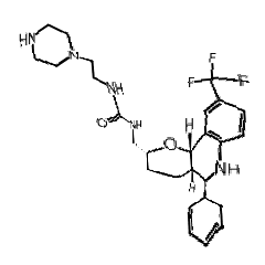 O=C(NCCN1CCNCC1)NC[C@H]1CC[C@@H]2[C@H](O1)c1cc(C(F)(F)F)ccc1N[C@H]2C1C=CC=CC1